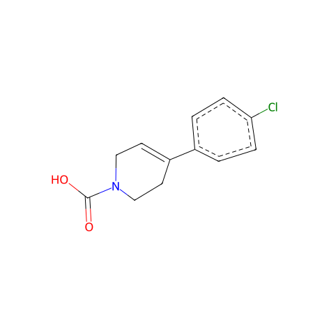 O=C(O)N1CC=C(c2ccc(Cl)cc2)CC1